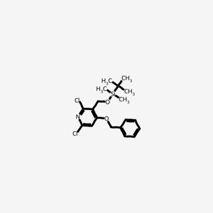 CC(C)(C)[Si](C)(C)OCc1c(OCc2ccccc2)cc(Cl)nc1Cl